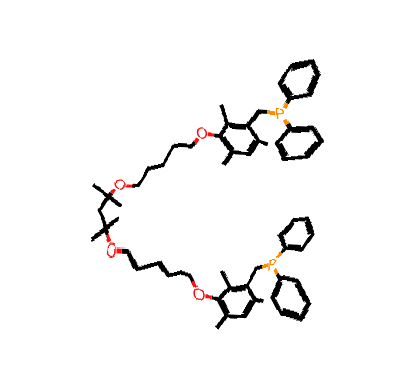 Cc1cc(C)c(OCCCCCOC(C)(C)CC(C)(C)OCCCCCOc2c(C)cc(C)c(CP(c3ccccc3)c3ccccc3)c2C)c(C)c1CP(c1ccccc1)c1ccccc1